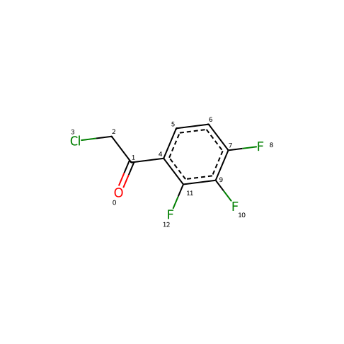 O=C(CCl)c1ccc(F)c(F)c1F